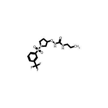 CCCNC(=O)NOC1CCN(S(=O)(=O)c2cccc(C(F)(F)F)c2)C1